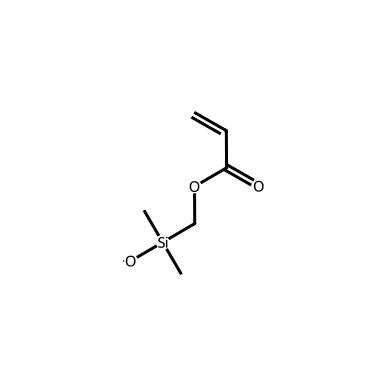 C=CC(=O)OC[Si](C)(C)[O]